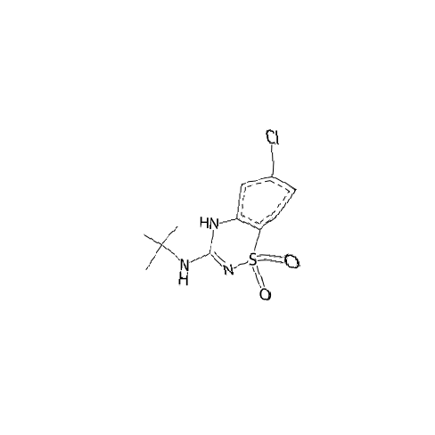 CC(C)(C)NC1=NS(=O)(=O)c2ccc(Cl)cc2N1